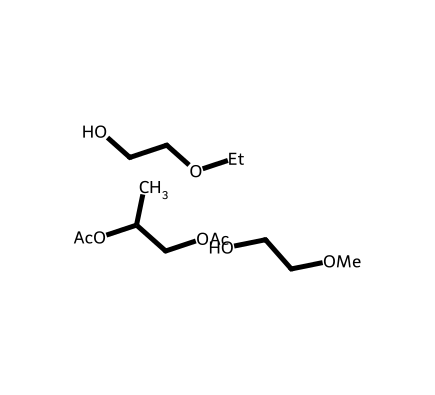 CC(=O)OCC(C)OC(C)=O.CCOCCO.COCCO